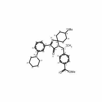 COC(=O)c1ccc([C@@H](C)N2C(=O)C(c3cccc(N4CCCCC4)c3)=NC23CCC(C(C)(C)C)CC3)cc1